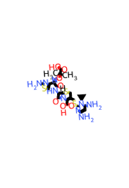 CC(C)(O/N=C(\C(=O)NC1C(=O)N2C(C(=O)O)=C(CSC3=NC(N)=CC(N)N3C3CC3)CS[C@@H]12)c1csc(N)n1)C(=O)O